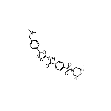 C[C@@H]1C[C@H](C)CN(S(=O)(=O)c2ccc(C(=O)Nc3nnc(-c4ccc(CN(C)C)cc4)o3)cc2)C1